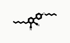 CCCCCCc1ccc(-c2ccc(OCCCCC)cc2)c(C#N)c1C#N